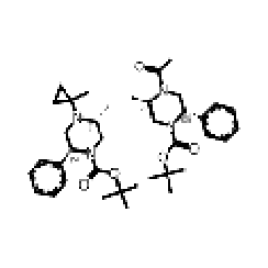 CC(=O)N1C[C@H](c2ccccc2)N(C(=O)OC(C)(C)C)C[C@H]1C.C[C@@H]1CN(C(=O)OC(C)(C)C)[C@@H](c2ccccc2)CN1C1(C)CC1